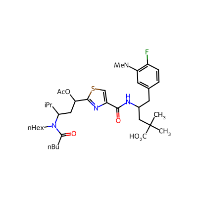 CCCCCCN(C(=O)CCCC)C(CC(OC(C)=O)c1nc(C(=O)NC(Cc2ccc(F)c(NC)c2)CC(C)(C)C(=O)O)cs1)C(C)C